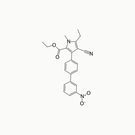 CCOC(=O)c1c(-c2ccc(-c3cccc([N+](=O)[O-])c3)cc2)c(C#N)c(CC)n1C